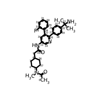 CC(=O)N(C)C1CCC(CC(=O)Nc2cnc(-c3ccc(C(C)(C)N)cc3)c(-c3ccccc3F)c2)CC1